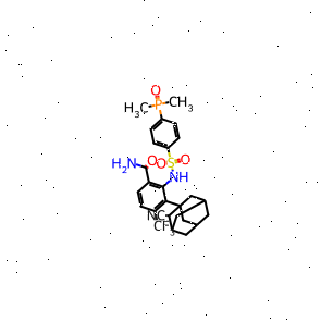 CP(C)(=O)c1ccc(S(=O)(=O)Nc2c(C(N)=O)ccc(C(F)(F)F)c2C23CC4CC(CC(C4)C2C#N)C3)cc1